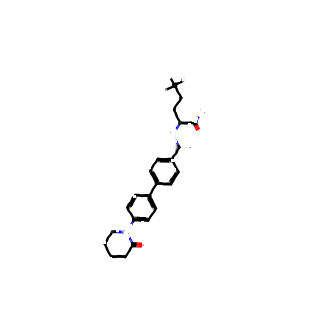 [2H]C([2H])([2H])CCC(N[C@@H](c1ccc(-c2ccc(N3CCCCC3=O)cc2)cc1)C(F)(F)F)C(N)=O